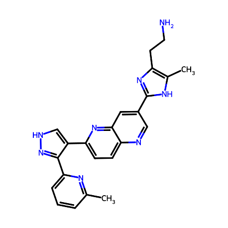 Cc1cccc(-c2n[nH]cc2-c2ccc3ncc(-c4nc(CCN)c(C)[nH]4)cc3n2)n1